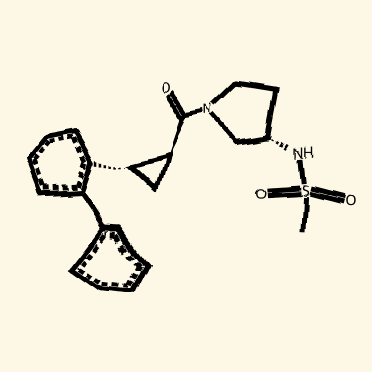 CS(=O)(=O)N[C@H]1CCN(C(=O)[C@H]2C[C@@H]2c2ccccc2-c2ccccc2)C1